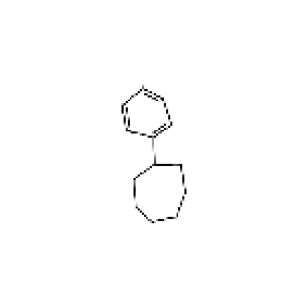 [c]1ccc(C2CCCCCC2)cc1